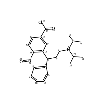 CC(C)N(CCC(c1ccccc1)c1cc(C(=O)Cl)ccc1N=O)C(C)C